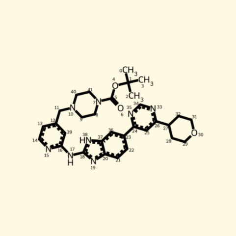 CC(C)(C)OC(=O)N1CCN(Cc2ccnc(Nc3nc4ccc(-c5cc(C6CCOCC6)ncn5)cc4[nH]3)c2)CC1